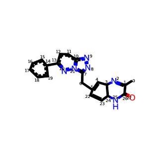 CC1=NC2C=C(Cc3nnc4ccc(-c5ccccc5)nn34)C=CC2NC1=O